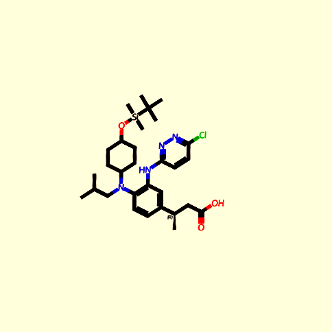 CC(C)CN(c1ccc([C@H](C)CC(=O)O)cc1Nc1ccc(Cl)nn1)C1CCC(O[Si](C)(C)C(C)(C)C)CC1